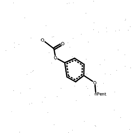 CCCCCOc1ccc(OC([O])=O)cc1